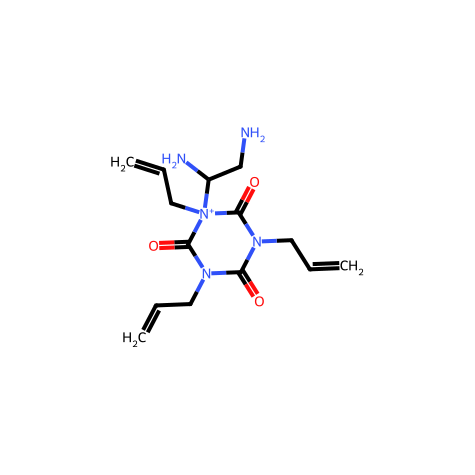 C=CCN1C(=O)N(CC=C)C(=O)[N+](CC=C)(C(N)CN)C1=O